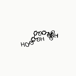 O=c1[nH]c(=O)n(Cc2ccc(OCc3cccc(-c4ccc(OCCO)cc4CO)c3)cc2)o1